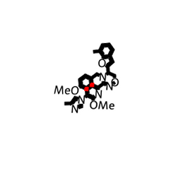 COc1ccc(CN2C(c3ccc(-n4cnc(C)c4)c(OC)n3)=NOCC2c2cc3cccc(C)c3o2)cc1